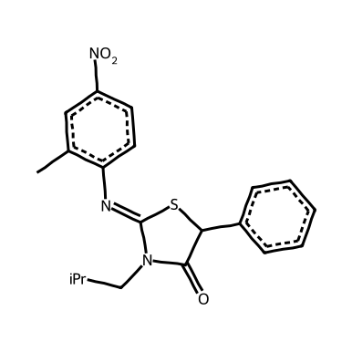 Cc1cc([N+](=O)[O-])ccc1N=C1SC(c2ccccc2)C(=O)N1CC(C)C